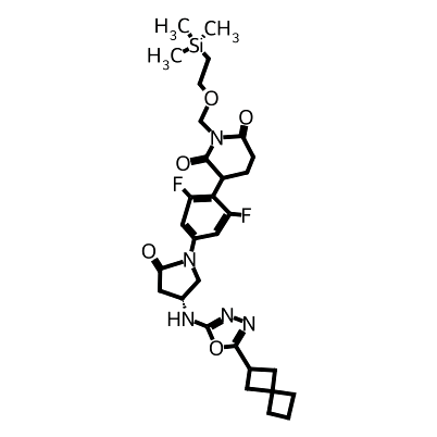 C[Si](C)(C)CCOCN1C(=O)CCC(c2c(F)cc(N3C[C@H](Nc4nnc(C5CC6(CCC6)C5)o4)CC3=O)cc2F)C1=O